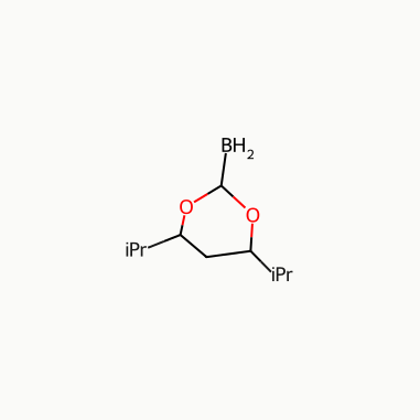 BC1OC(C(C)C)CC(C(C)C)O1